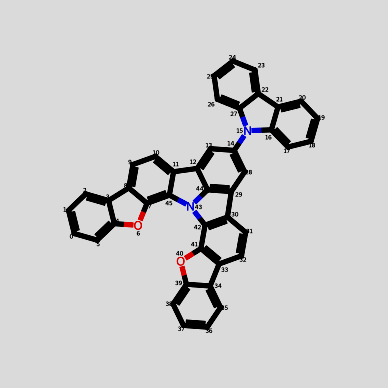 c1ccc2c(c1)oc1c2ccc2c3cc(-n4c5ccccc5c5ccccc54)cc4c5ccc6c7ccccc7oc6c5n(c34)c21